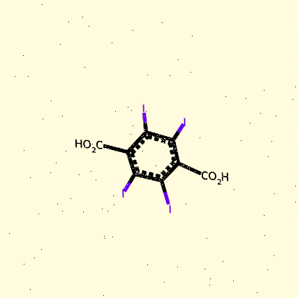 O=C(O)c1c(I)c(I)c(C(=O)O)c(I)c1I